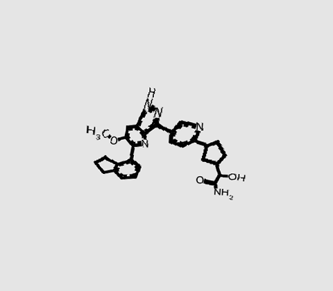 COc1cc2[nH]nc(-c3ccc(C4CCC(C(O)C(N)=O)C4)nc3)c2nc1-c1cccc2c1CCC2